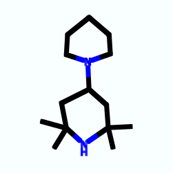 CC1(C)CC(N2CCCCC2)CC(C)(C)N1